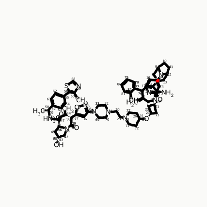 C=C1CN=C(N)C(N2CC3CCC(C2)N3c2ccnc(O[C@H]3C[C@H](OC4CCN(CCN5CCN(c6cc([C@H](C(=O)N7C[C@H](O)C[C@H]7C(=O)N[C@@H](C)c7ccc(-c8scnc8C)cc7)C(C)C)on6)CC5)CC4)C3)c2)=CC1c1ccccc1O